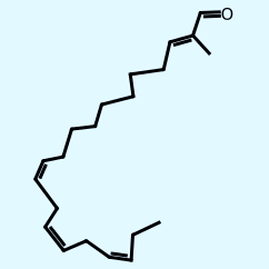 CC/C=C\C/C=C\C/C=C\CCCCCCC/C=C(\C)C=O